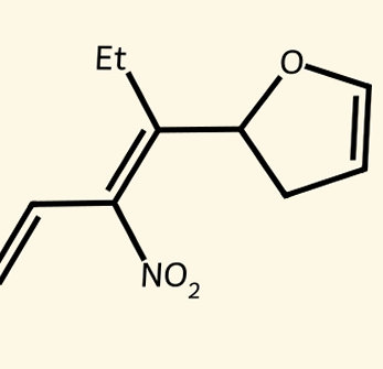 C=C/C(=C(\CC)C1CC=CO1)[N+](=O)[O-]